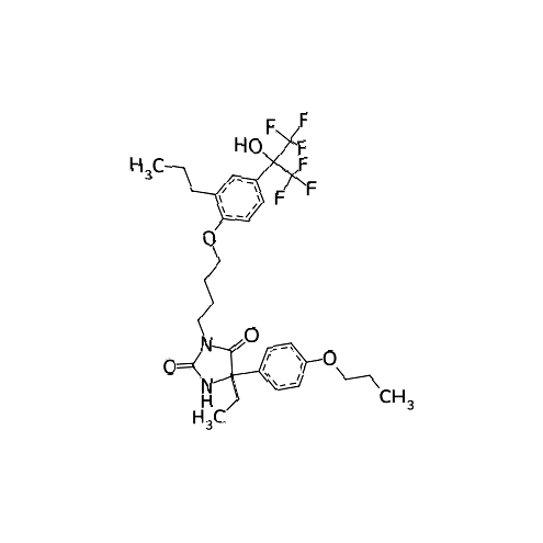 CCCOc1ccc(C2(CC)NC(=O)N(CCCCOc3ccc(C(O)(C(F)(F)F)C(F)(F)F)cc3CCC)C2=O)cc1